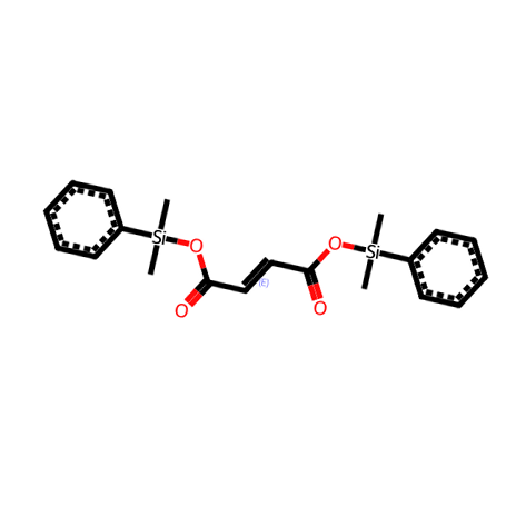 C[Si](C)(OC(=O)/C=C/C(=O)O[Si](C)(C)c1ccccc1)c1ccccc1